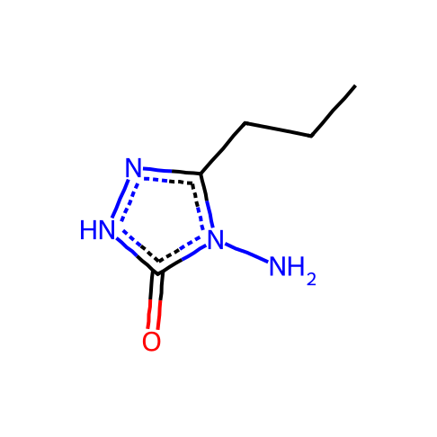 CCCc1n[nH]c(=O)n1N